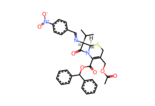 CC(=O)OCC1=C(C(=O)OC(c2ccccc2)c2ccccc2)N2C(=O)[C@@](N=Cc3ccc([N+](=O)[O-])cc3)(C(C)C)[C@H]2SC1